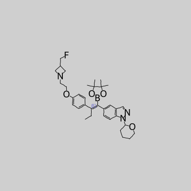 CC/C(=C(/B1OC(C)(C)C(C)(C)O1)c1ccc2c(cnn2C2CCCCO2)c1)c1ccc(OCCN2CC(CF)C2)cc1